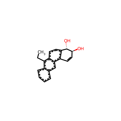 CCc1c2ccccc2cc2c3c(ccc12)[C@H](O)[C@@H](O)C=C3